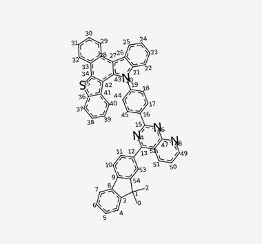 CC1(C)c2ccccc2-c2ccc(-c3nc(-c4ccc(-n5c6ccccc6c6c7ccccc7c7sc8ccccc8c7c65)cc4)nc4ncccc34)cc21